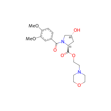 COc1ccc(C(=O)N2C[C@H](O)C[C@H]2C(=O)OCCN2CCOCC2)cc1OC